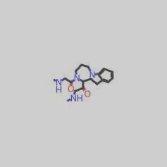 CNCC(=O)C1C2Cc3ccccc3N2CCCN1C(=O)CNC